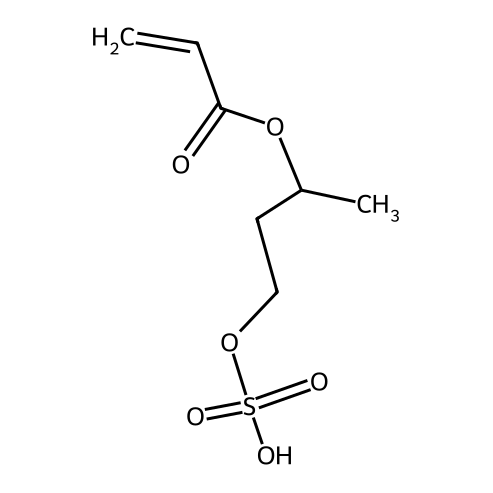 C=CC(=O)OC(C)CCOS(=O)(=O)O